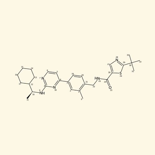 Cc1cc(-c2ccnc(N[C@@H](C)C3CCCCC3)n2)ccc1CNC(=O)c1cnc(C(C)(C)C)s1